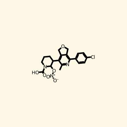 Cc1nc(-c2ccc(Cl)cc2)c2c(c1C1CCCN(C(=O)O)C1O[N+](=O)[O-])COC2